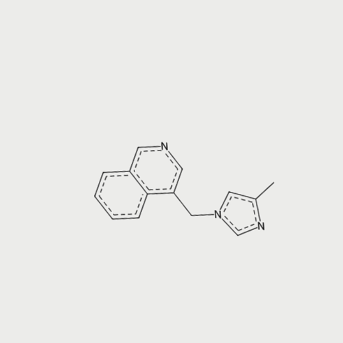 Cc1cn(Cc2cncc3ccccc23)cn1